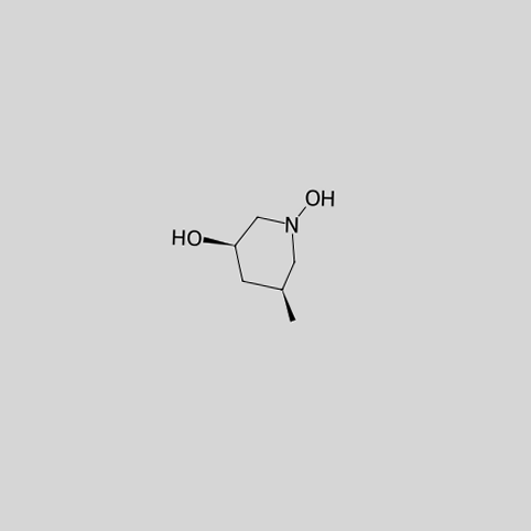 C[C@H]1C[C@@H](O)CN(O)C1